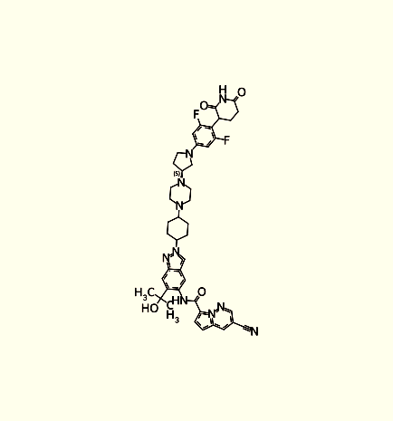 CC(C)(O)c1cc2nn(C3CCC(N4CCN([C@H]5CCN(c6cc(F)c(C7CCC(=O)NC7=O)c(F)c6)C5)CC4)CC3)cc2cc1NC(=O)c1ccc2cc(C#N)cnn12